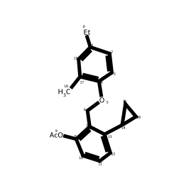 CCc1ccc(OCc2c(OC(C)=O)cccc2C2CC2)c(C)c1